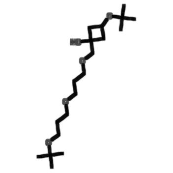 CC(C)(C)OCCCOCCCOCC1(O)CC(OC(C)(C)C)C1